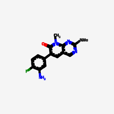 CNc1ncc2cc(-c3ccc(F)c(N)c3)c(=O)n(C)c2n1